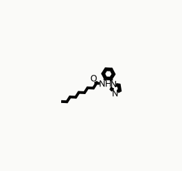 CCCCCCCCC(=O)Nc1ccccc1-n1ccnc1